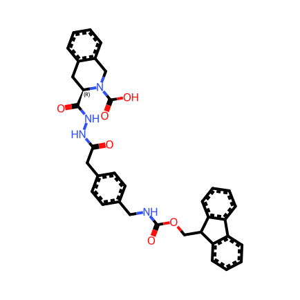 O=C(Cc1ccc(CNC(=O)OCC2c3ccccc3-c3ccccc32)cc1)NNC(=O)[C@H]1Cc2ccccc2CN1C(=O)O